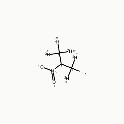 [2H]C([2H])([2H])C([N+](=O)[O-])C([2H])([2H])[2H]